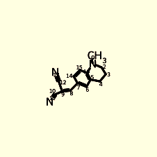 CN1CCCc2cc(C=C(C#N)C#N)ccc21